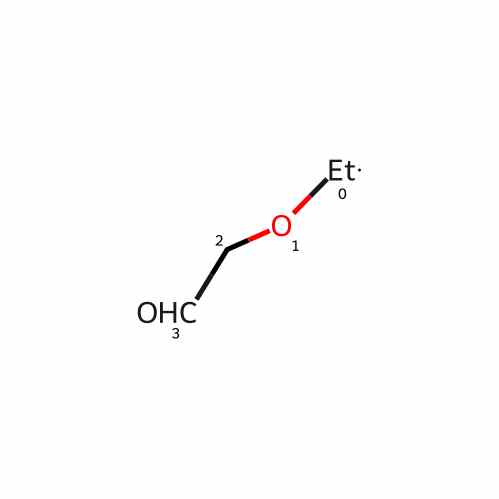 C[CH]OCC=O